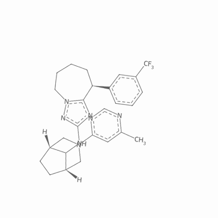 Cc1cc(N2C[C@H]3CC[C@@H](C2)C3Nc2nc3n(n2)CCCC[C@H]3c2cccc(C(F)(F)F)c2)ncn1